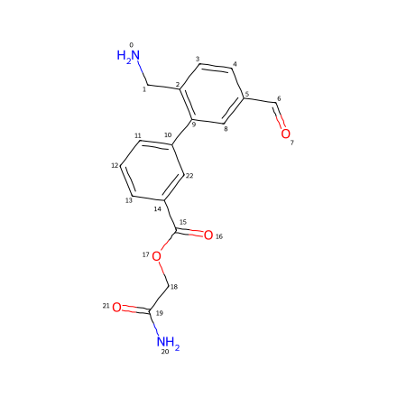 NCc1ccc(C=O)cc1-c1cccc(C(=O)OCC(N)=O)c1